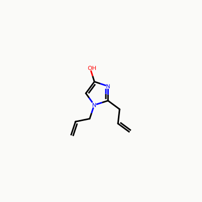 C=CCc1nc(O)cn1CC=C